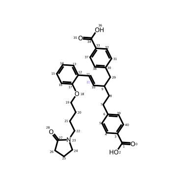 O=C(O)c1ccc(CCC(/C=C/c2ccccc2OCCCCN2CCCC2=O)Cc2ccc(C(=O)O)cc2)cc1